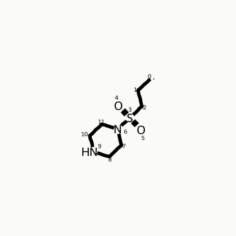 [CH2]CCS(=O)(=O)N1CCNCC1